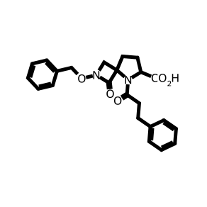 O=C(O)C1CCC2(CN(OCc3ccccc3)C2=O)N1C(=O)CCc1ccccc1